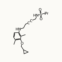 Cc1ccc(NCCCCCNS(=O)(=O)C(C)C)c(C)c1OCC1CC1